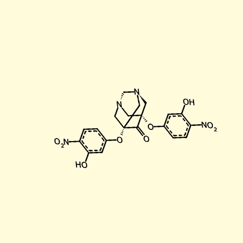 O=C1[C@]2(Oc3ccc([N+](=O)[O-])c(O)c3)C[N@]3C[N@@](C[C@@]1(Oc1ccc([N+](=O)[O-])c(O)c1)C3)C2